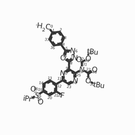 [CH2]c1ccc(-c2nnc(-c3nc(-c4ccc(S(=O)(=O)C(C)C)cc4F)cnc3N(C(=O)OC(C)(C)C)C(=O)OC(C)(C)C)o2)cc1